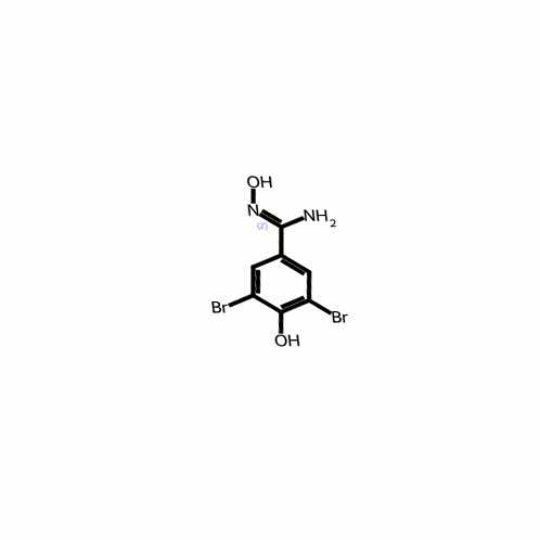 N/C(=N\O)c1cc(Br)c(O)c(Br)c1